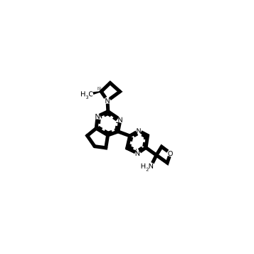 C[C@H]1CCN1c1nc2c(c(-c3cnc(C4(N)COC4)cn3)n1)CCC2